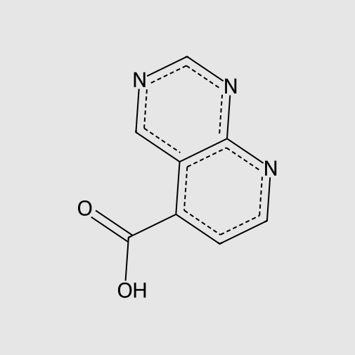 O=C(O)c1ccnc2ncncc12